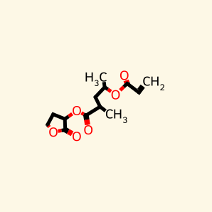 C=CC(=O)OC(C)CC(C)C(=O)OC1CCOC1=O